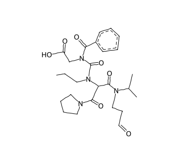 CCCN(C(=O)N(CC(=O)O)C(=O)c1ccccc1)C(C(=O)N1CCCC1)C(=O)N(CCC=O)C(C)C